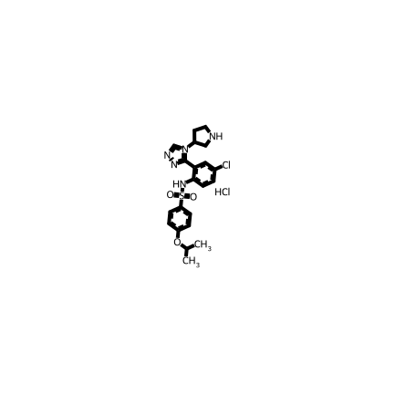 CC(C)Oc1ccc(S(=O)(=O)Nc2ccc(Cl)cc2-c2nncn2C2CCNC2)cc1.Cl